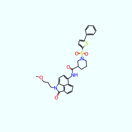 COCCCN1C(=O)c2cccc3c(NC(=O)C4CCCN(S(=O)(=O)c5ccc(-c6ccccc6)s5)C4)ccc1c23